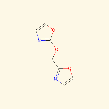 c1coc(COc2ncco2)n1